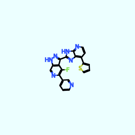 Fc1c(-c2cccnc2)ncc2[nH]nc(-c3nc4c(-c5cccs5)ccnc4[nH]3)c12